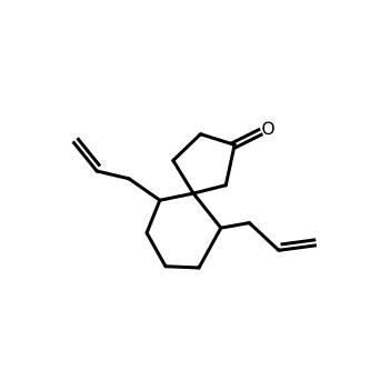 C=CCC1CCCC(CC=C)C12CCC(=O)C2